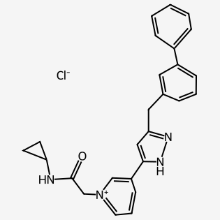 O=C(C[n+]1cccc(-c2cc(Cc3cccc(-c4ccccc4)c3)n[nH]2)c1)NC1CC1.[Cl-]